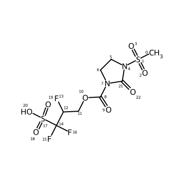 CS(=O)(=O)N1CCN(C(=O)OCC(F)C(F)(F)S(=O)(=O)O)C1=O